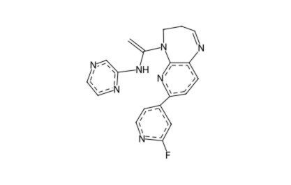 C=C(Nc1cnccn1)N1CCC=Nc2ccc(-c3ccnc(F)c3)nc21